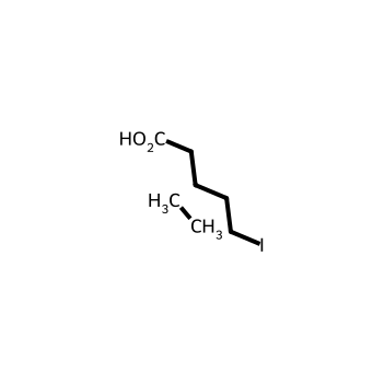 CC.O=C(O)CCCCI